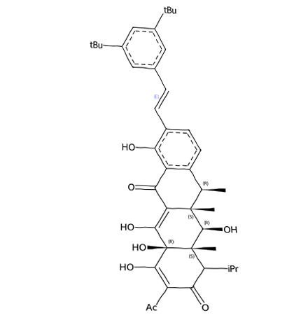 CC(=O)C1=C(O)[C@]2(O)C(O)=C3C(=O)c4c(ccc(/C=C/c5cc(C(C)(C)C)cc(C(C)(C)C)c5)c4O)[C@@H](C)[C@]3(C)[C@@H](O)[C@]2(C)C(C(C)C)C1=O